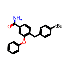 CC(C)(C)c1ccc(Cc2ccc(C(N)=O)cc2Oc2ccccc2)cc1